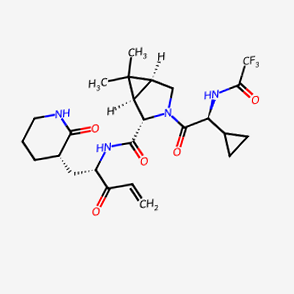 C=CC(=O)[C@H](C[C@@H]1CCCNC1=O)NC(=O)[C@@H]1[C@@H]2[C@H](CN1C(=O)[C@@H](NC(=O)C(F)(F)F)C1CC1)C2(C)C